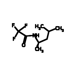 CC(C)C[C@@H](C)NC(=O)C(F)(F)F